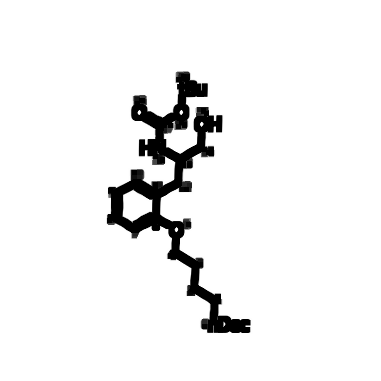 CCCCCCCCCCCCCCOc1ccccc1CC(CO)NC(=O)OC(C)(C)C